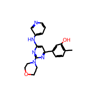 Cc1ccc(-c2cc(Nc3cccnc3)nc(N3CCOCC3)n2)cc1O